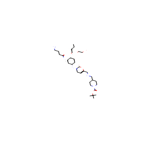 CC[C@@H](O)[C@H](OCCO)O[C@@H]1[C@@H](O)[C@H](O[C@@H]2CCC=C(CNCC3CCN(C(=O)OC(C)(C)C)CC3)O2)[C@@H](N)C[C@H]1NC(=O)CCCN